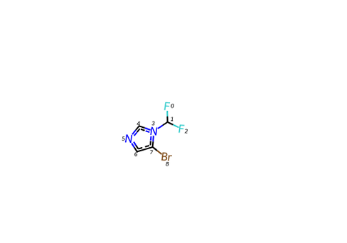 FC(F)n1cncc1Br